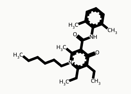 CCCCCCn1c(C)c(C(=O)Nc2c(C)cccc2C)c(=O)c(CC)c1CC